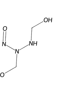 O=NN(CO)NCO